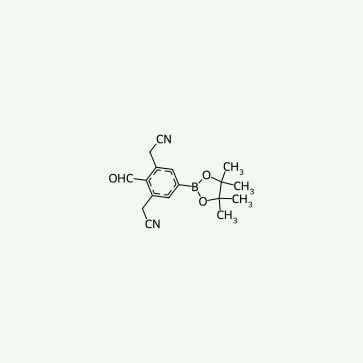 CC1(C)OB(c2cc(CC#N)c(C=O)c(CC#N)c2)OC1(C)C